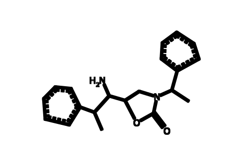 CC(c1ccccc1)C(N)C1CN(C(C)c2ccccc2)C(=O)O1